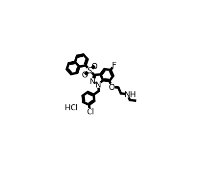 CCNCCOc1cc(F)cc2c(S(=O)(=O)c3cccc4ccccc34)nn(Cc3cccc(Cl)c3)c12.Cl